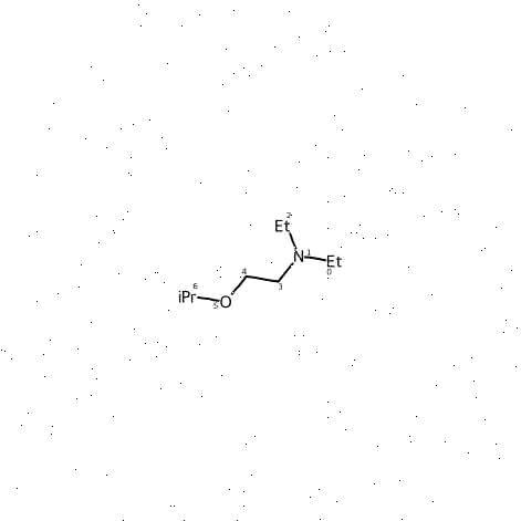 CCN(CC)CCOC(C)C